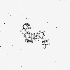 Cc1ccc(-c2nccc3[nH]c(-c4n[nH]c5ncc(-c6cnccc6C)cc45)cc23)s1